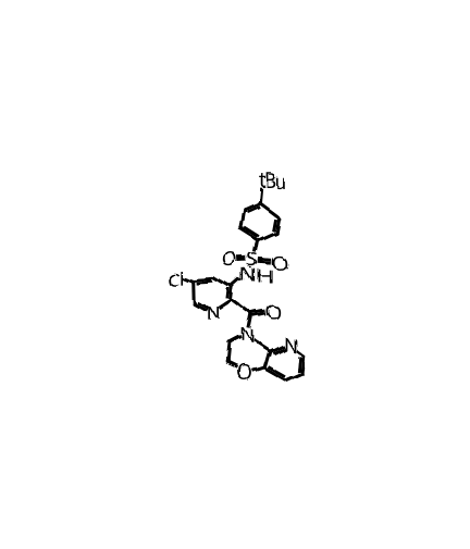 CC(C)(C)c1ccc(S(=O)(=O)Nc2cc(Cl)cnc2C(=O)N2CCOc3cccnc32)cc1